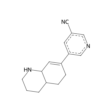 N#Cc1cncc(C2=CC3NCCCC3CC2)c1